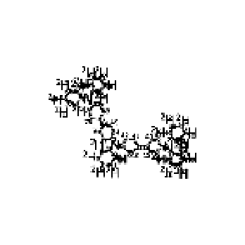 [2H]c1c([2H])c([2H])c(N(c2ccc(-c3ccc(N(c4c([2H])c([2H])c([2H])c([2H])c4[2H])c4c([2H])c([2H])c([2H])c([2H])c4[2H])cc3)cc2)c2ccc(-c3ccc(N(c4c([2H])c([2H])c([2H])c([2H])c4[2H])c4c([2H])c([2H])c([2H])c([2H])c4[2H])cc3)cc2)c([2H])c1[2H]